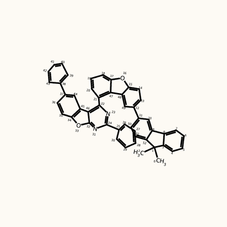 CC1(C)c2ccccc2-c2cc(-c3ccc4oc5cccc(-c6nc(-c7ccccc7)nc7oc8ccc(-c9ccccc9)cc8c67)c5c4c3)ccc21